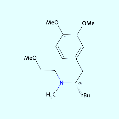 CCCC[C@@H](Cc1ccc(OC)c(OC)c1)N(C)CCOC